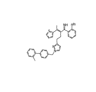 CCCc1ccccc1C(=N)/C(CCc1ccn(Cc2ccc(-c3ccccc3C)cc2)n1)=C(\C)c1cccs1